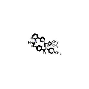 CN1CCC(N(C)C(=O)c2ccc(NC(=N)/N=c3\[nH]cccc3C3=CCN(C(=O)N4CC(C)(C)C4)C3)cc2)CC1